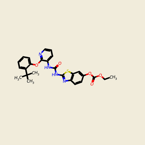 CCOC(=O)Oc1ccc2nc(NC(=O)Nc3cccnc3Oc3ccccc3C(C)(C)C)sc2c1